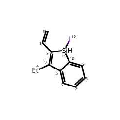 C=CC1=C(CC)c2ccccc2[SiH]1I